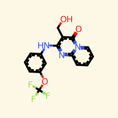 O=c1c(CO)c(Nc2cccc(OC(F)(F)F)c2)nc2ccccn12